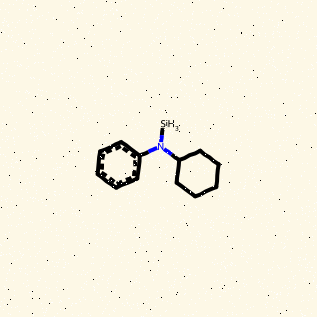 [SiH3]N(c1ccccc1)C1CCCCC1